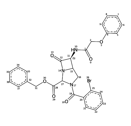 O=C(COc1ccccc1)N[C@@H]1C(=O)N2C1CN(C(=O)c1ccccc1Br)C2C(=O)OCc1ccccc1